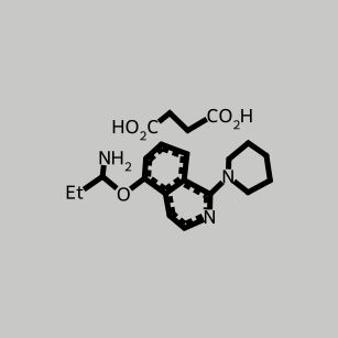 CCC(N)Oc1cccc2c(N3CCCCC3)nccc12.O=C(O)CCC(=O)O